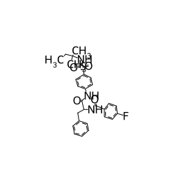 CCC(C)(C)NS(=O)(=O)c1ccc(NC(=O)C(Cc2ccccc2)NC(=O)c2ccc(F)cc2)cc1